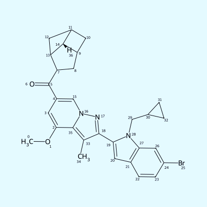 COc1cc(C(=O)C2CC3CC4CC2[C@@H]34)cn2nc(-c3cc4ccc(Br)cc4n3CC3CC3)c(C)c12